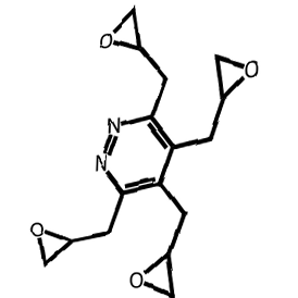 C1OC1Cc1nnc(CC2CO2)c(CC2CO2)c1CC1CO1